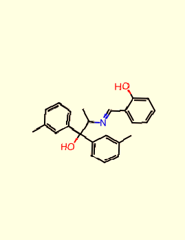 Cc1cccc(C(O)(c2cccc(C)c2)C(C)N=Cc2ccccc2O)c1